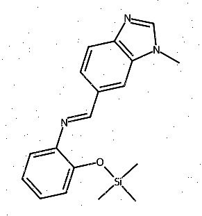 Cn1cnc2ccc(C=Nc3ccccc3O[Si](C)(C)C)cc21